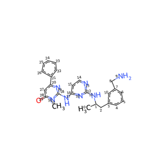 CC(Cc1cccc(CN)c1)Nc1nccc(Nc2nc(-c3ccccc3)cc(=O)n2C)n1